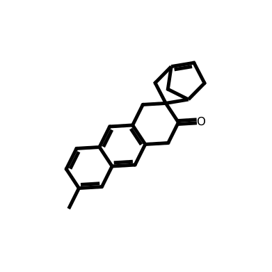 Cc1ccc2cc3c(cc2c1)CC(=O)C1(CC2=CCC1C2)C3